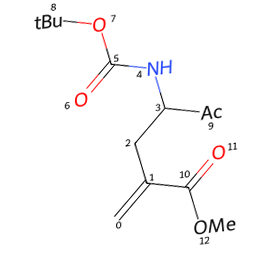 C=C(CC(NC(=O)OC(C)(C)C)C(C)=O)C(=O)OC